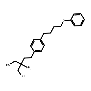 NC(CO)(CO)CCc1ccc(CCCCOc2ccccc2)cc1